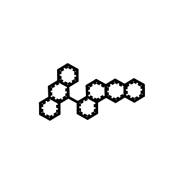 c1ccc2cc3c(ccc4c(-c5c6ccccc6cc6ccccc56)cccc43)cc2c1